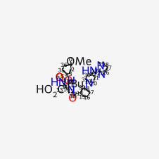 COc1ccc(S(=O)(=O)N[C@@](CNC(=O)c2cccc(N3CCC(Nc4ncccn4)CC3)c2)(C(=O)O)C(C)(C)C)cc1